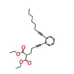 CCCCCCC#Cc1ccccc1C#CCCC(C(=O)OCC)C(=O)OCC